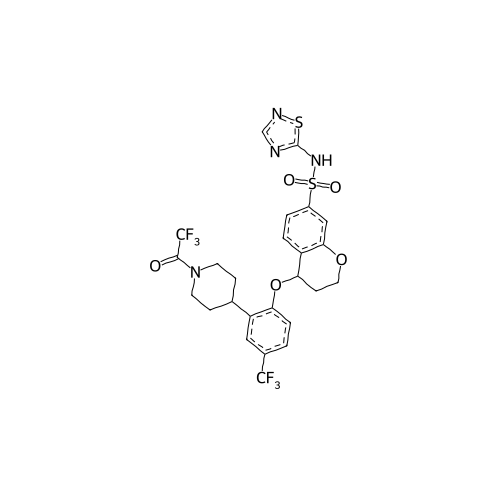 O=C(N1CCC(c2cc(C(F)(F)F)ccc2OC2CCOc3cc(S(=O)(=O)Nc4ncns4)ccc32)CC1)C(F)(F)F